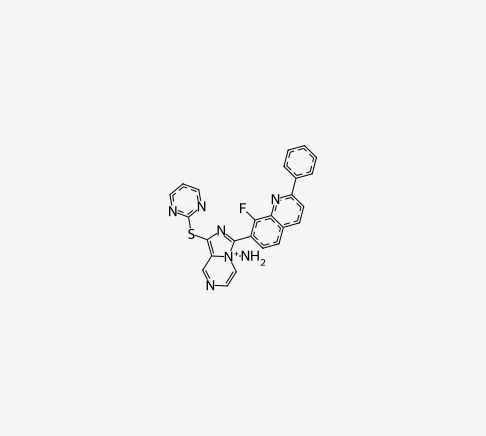 N[N+]12C=CN=CC1=C(Sc1ncccn1)N=C2c1ccc2ccc(-c3ccccc3)nc2c1F